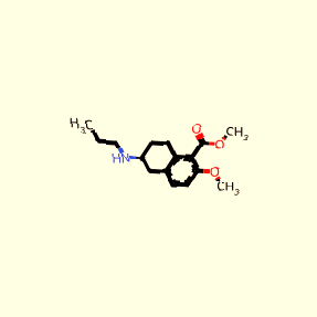 CCCN[C@H]1CCc2c(ccc(OC)c2C(=O)OC)C1